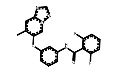 Cc1cc2ncnn2cc1Oc1cccc(NC(=O)c2c(F)cccc2F)c1